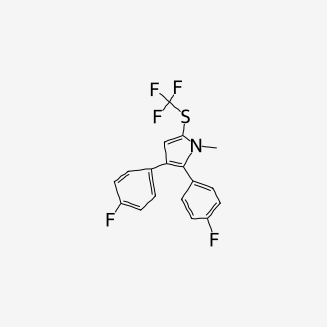 Cn1c(SC(F)(F)F)cc(-c2ccc(F)cc2)c1-c1ccc(F)cc1